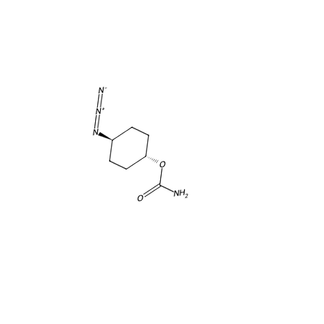 [N-]=[N+]=N[C@H]1CC[C@H](OC(N)=O)CC1